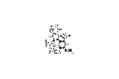 COC(=O)C(OC1CC1)c1c(C)c(N)cc(C2CC2)c1-c1ccc2c(c1)CCCO2